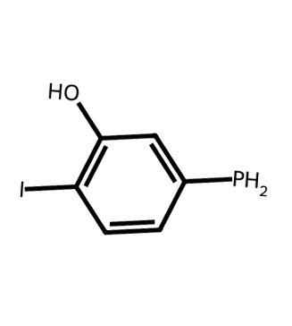 Oc1cc(P)ccc1I